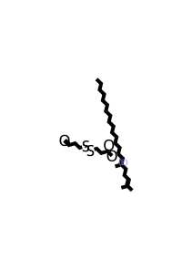 CCCCCCCCCCCCCCC(/C=C(\C)CCC=C(C)C)OC(=O)CCSSCCC=O